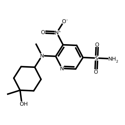 CN(c1ncc(S(N)(=O)=O)cc1[N+](=O)[O-])C1CCC(C)(O)CC1